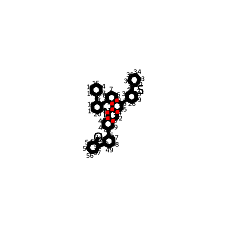 c1ccc(-c2ccccc2-c2c(-c3ccccc3)cccc2N(c2ccc(-c3ccc4sc5ccccc5c4c3)cc2)c2ccc(-c3cccc4c3oc3ccccc34)cc2)cc1